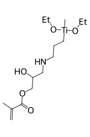 C=C(C)C(=O)OCC(O)CNCC[CH2][Ti]([CH3])([O]CC)[O]CC